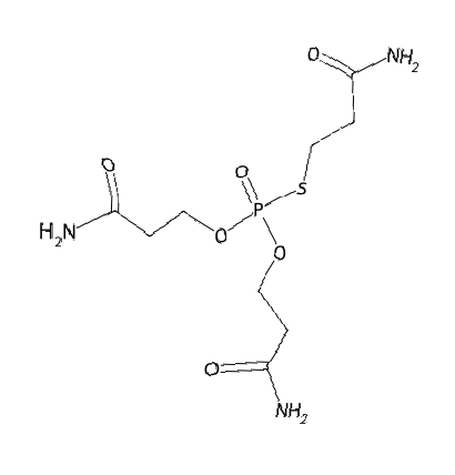 NC(=O)CCOP(=O)(OCCC(N)=O)SCCC(N)=O